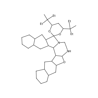 CCC(C)(CC)C1CC(C(C)(CC)CC)OC2(O1)C1CC3CCCCC3CC1C1C3C(NCN12)OC1CC2CCCCC2CC13